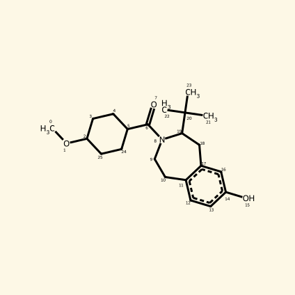 COC1CCC(C(=O)N2CCc3ccc(O)cc3CC2C(C)(C)C)CC1